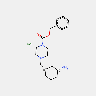 Cl.N[C@@H]1CCC[C@H](CN2CCN(C(=O)OCc3ccccc3)CC2)C1